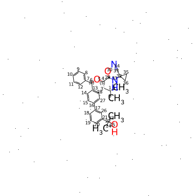 CC(C)C[C@H](O[C@H](c1ccccc1)c1ccc(-c2cccc(C(C)(C)O)c2)cc1)C(=O)NC1(C#N)CC1